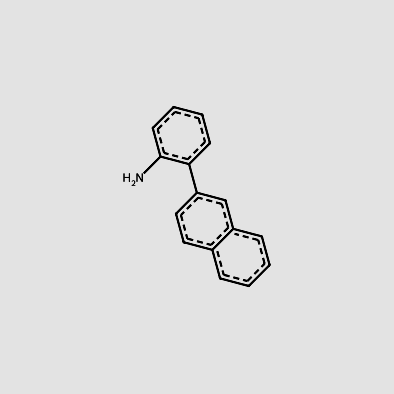 Nc1ccccc1-c1ccc2ccccc2c1